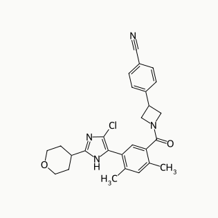 Cc1cc(C)c(-c2[nH]c(C3CCOCC3)nc2Cl)cc1C(=O)N1CC(c2ccc(C#N)cc2)C1